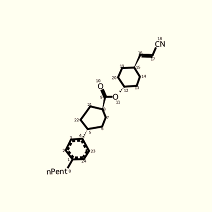 CCCCCc1ccc([C@H]2CC[C@H](C(=O)O[C@H]3CC[C@H](C=CC#N)CC3)CC2)cc1